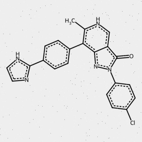 Cc1[nH]cc2c(=O)n(-c3ccc(Cl)cc3)nc-2c1-c1ccc(-c2ncc[nH]2)cc1